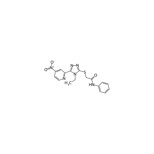 CCn1c(SCC(=O)Nc2ccccc2)nnc1-c1cc([N+](=O)[O-])ccn1